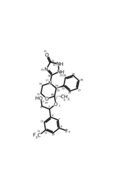 C[C@]1(OC(CO)c2cc(F)cc(C(F)(F)F)c2)OCCN(c2nc(=O)[nH][nH]2)[C@H]1c1ccccc1